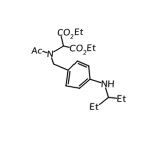 CCOC(=O)C(C(=O)OCC)N(Cc1ccc(NC(CC)CC)cc1)C(C)=O